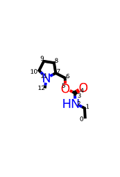 CCNC(=O)OCC1CCCN1C